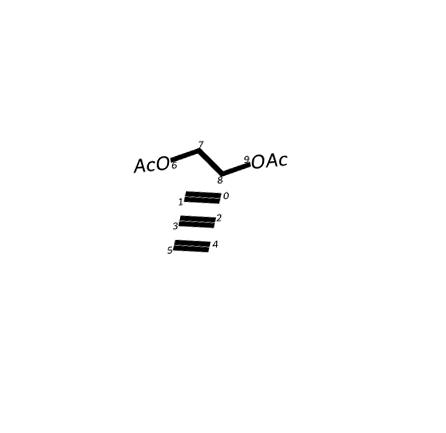 C=C.C=C.C=C.CC(=O)OCCOC(C)=O